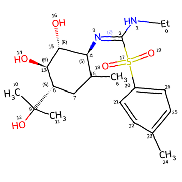 CCN/C(=N/[C@H]1C(C)C[C@H](C(C)(C)O)[C@@H](O)[C@@H]1O)S(=O)(=O)c1ccc(C)cc1